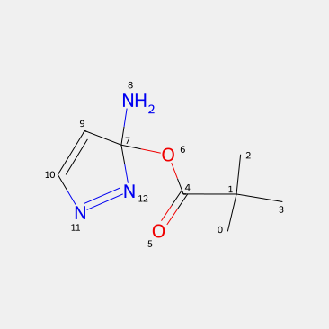 CC(C)(C)C(=O)OC1(N)C=CN=N1